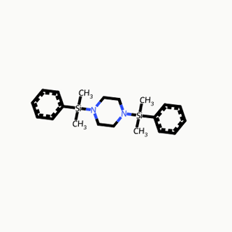 C[Si](C)(c1ccccc1)N1CCN([Si](C)(C)c2ccccc2)CC1